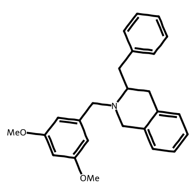 COc1cc(CN2Cc3ccccc3CC2Cc2ccccc2)cc(OC)c1